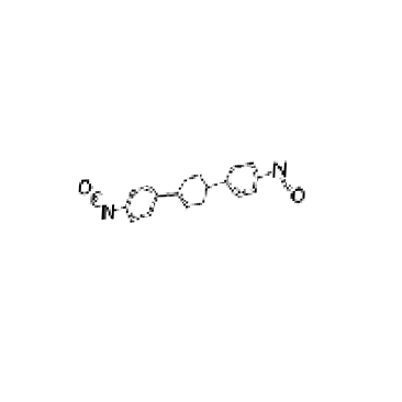 O=C=Nc1ccc(C2=CCC(c3ccc(N=C=O)cc3)CC2)cc1